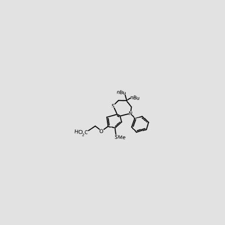 CCCCC1(CCCC)CSc2cc(OCC(=O)O)c(SC)cc2N(c2ccccc2)C1